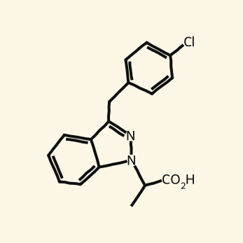 CC(C(=O)O)n1nc(Cc2ccc(Cl)cc2)c2ccccc21